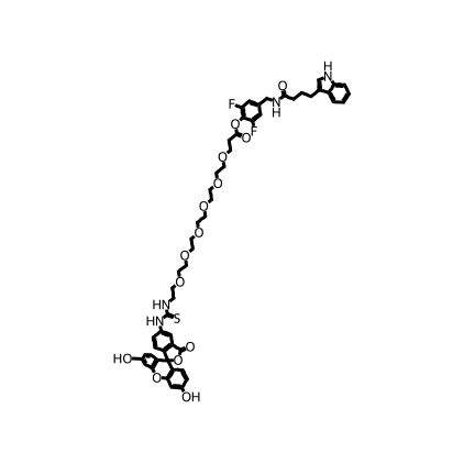 O=C(CCCc1c[nH]c2ccccc12)NCc1cc(F)c(OC(=O)CCOCCOCCOCCOCCOCCOCCNC(=S)Nc2ccc3c(c2)C(=O)OC32c3ccc(O)cc3Oc3cc(O)ccc32)c(F)c1